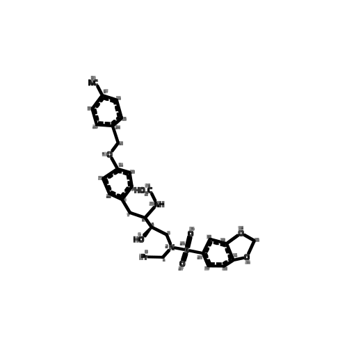 CC(C)CN(C[C@@H](O)C(Cc1ccc(OCc2ccc(C#N)cc2)cc1)NC(=O)O)S(=O)(=O)c1ccc2c(c1)OCO2